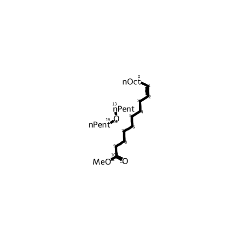 CCCCCCCC/C=C\CCCCCCCC(=O)OC.CCCCCOCCCCC